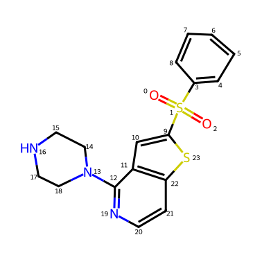 O=S(=O)(c1ccccc1)c1cc2c(N3CCNCC3)nccc2s1